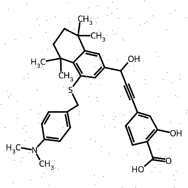 CN(C)c1ccc(CSc2cc(C(O)C#Cc3ccc(C(=O)O)c(O)c3)cc3c2C(C)(C)CCC3(C)C)cc1